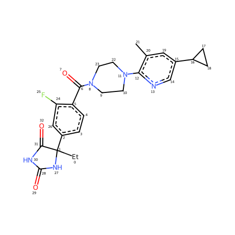 CCC1(c2ccc(C(=O)N3CCN(c4ncc(C5CC5)cc4C)CC3)c(F)c2)NC(=O)NC1=O